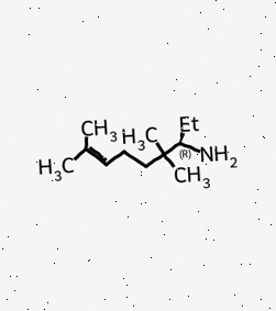 CC[C@@H](N)C(C)(C)CCC=C(C)C